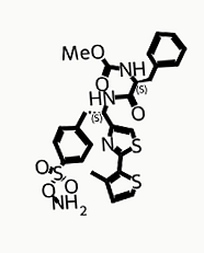 COC(=O)N[C@@H](Cc1ccccc1)C(=O)N[C@@H](Cc1ccc(S(=O)(=O)ON)cc1)c1csc(-c2sccc2C)n1